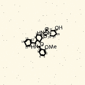 COc1ccccc1C(=O)NC(c1ccccc1)C1CCC(NS(=O)(=O)N2CCCC(O)C2)CC1